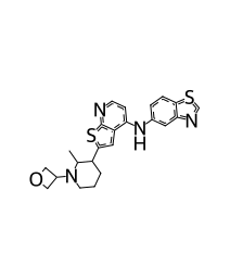 CC1C(c2cc3c(Nc4ccc5scnc5c4)ccnc3s2)CCCN1C1COC1